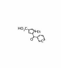 CCn1cc(C(=O)O)cc1C(=O)c1ccccc1